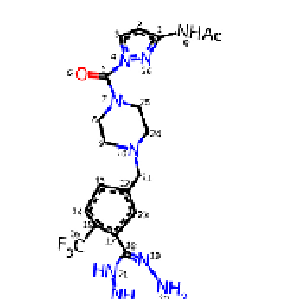 CC(=O)Nc1ccn(C(=O)N2CCN(Cc3ccc(C(F)(F)F)c(/C(=N/N)NN)c3)CC2)n1